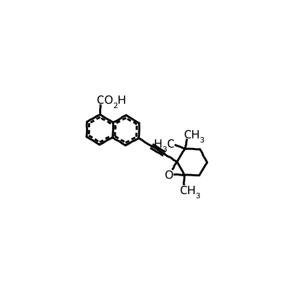 CC1(C)CCCC2(C)OC12C#Cc1ccc2c(C(=O)O)cccc2c1